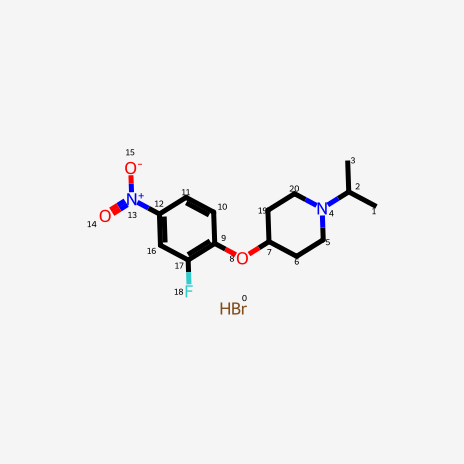 Br.CC(C)N1CCC(Oc2ccc([N+](=O)[O-])cc2F)CC1